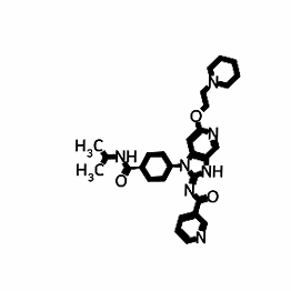 CC(C)NC(=O)[C@H]1CC[C@@H](n2/c(=N/C(=O)c3cccnc3)[nH]c3cnc(OCCN4CCCCC4)cc32)CC1